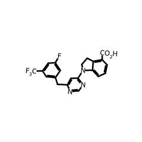 O=C(O)c1cccc2c1CCN2c1cc(Cc2cc(F)cc(C(F)(F)F)c2)ncn1